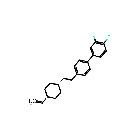 C=C[C@H]1CC[C@H](CCc2ccc(-c3ccc(F)c(F)c3)cc2)CC1